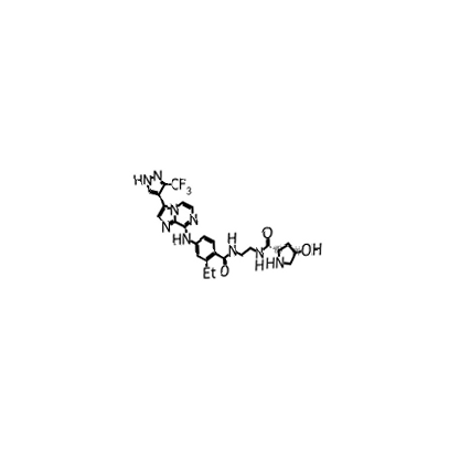 CCc1cc(Nc2nccn3c(-c4c[nH]nc4C(F)(F)F)cnc23)ccc1C(=O)NCCNC(=O)[C@@H]1C[C@@H](O)CN1